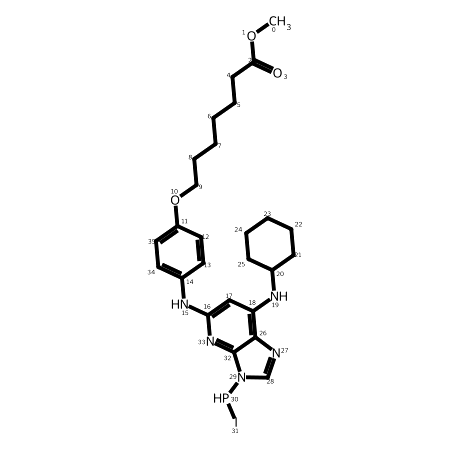 COC(=O)CCCCCCOc1ccc(Nc2cc(NC3CCCCC3)c3ncn(PI)c3n2)cc1